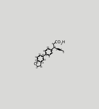 CC#CC(CC(=O)O)c1ccc(-c2ccc3c(c2)CCO3)cc1